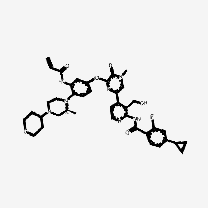 C=CC(=O)Nc1cc(Oc2nc(-c3ccnc(NC(=O)c4ccc(C5CC5)cc4F)c3CO)cn(C)c2=O)ccc1N1CCN(C2CCOCC2)C[C@@H]1C